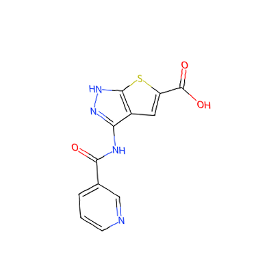 O=C(Nc1n[nH]c2sc(C(=O)O)cc12)c1cccnc1